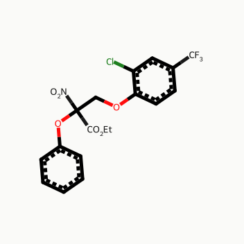 CCOC(=O)C(COc1ccc(C(F)(F)F)cc1Cl)(Oc1ccccc1)[N+](=O)[O-]